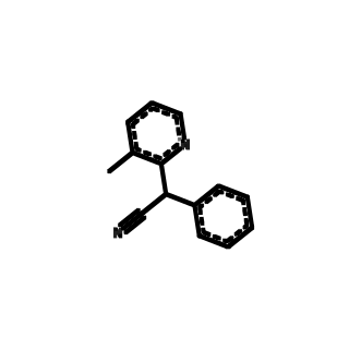 Cc1cccnc1C(C#N)c1ccccc1